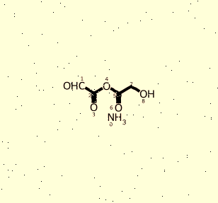 N.O=CC(=O)OC(=O)CO